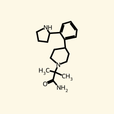 CC(C)(C(N)=O)N1CCC(c2ccccc2C2CCCN2)CC1